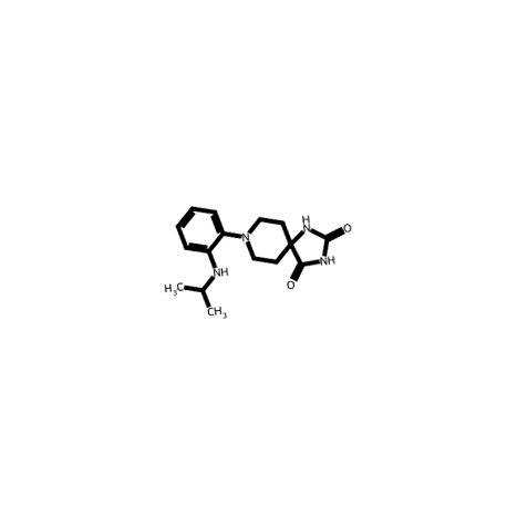 CC(C)Nc1ccccc1N1CCC2(CC1)NC(=O)NC2=O